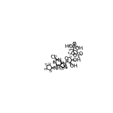 CC(CS(C)(=O)=O)(OC[C@H]1O[C@@H](n2ncc3c(NC4CCCC4)nc(Cl)nc32)[C@H](O)[C@@H]1O)P(=O)(O)O